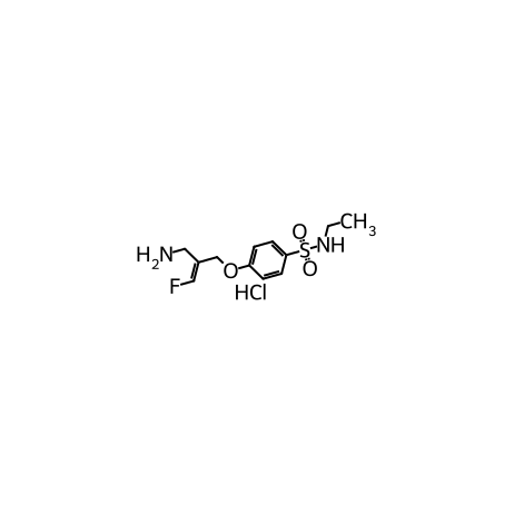 CCNS(=O)(=O)c1ccc(OCC(=CF)CN)cc1.Cl